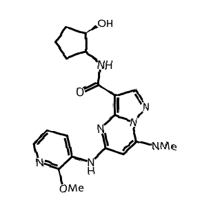 CNc1cc(Nc2cccnc2OC)nc2c(C(=O)NC3CCC[C@H]3O)cnn12